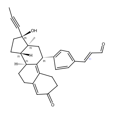 CC#C[C@@]1(O)CC[C@H]2[C@@H]3CCC4=CC(=O)CCC4=C3[C@@H](c3ccc(/C=C/C=O)cc3)C[C@@]21C